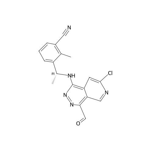 Cc1c(C#N)cccc1[C@@H](C)Nc1nnc(C=O)c2cnc(Cl)cc12